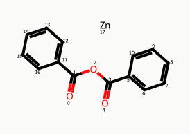 O=C(OC(=O)c1ccccc1)c1ccccc1.[Zn]